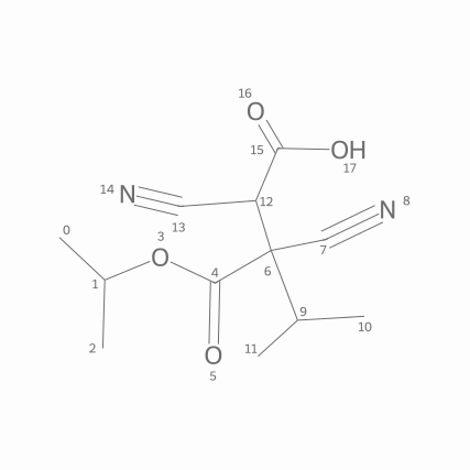 CC(C)OC(=O)C(C#N)(C(C)C)C(C#N)C(=O)O